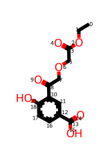 CCOC(=O)COCC(=O)c1cc(C(=O)O)ccc1O